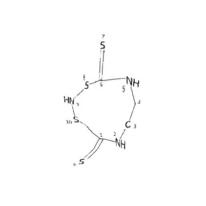 S=C1NCCNC(=S)SNS1